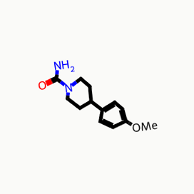 COc1ccc(C2CCN(C(N)=O)CC2)cc1